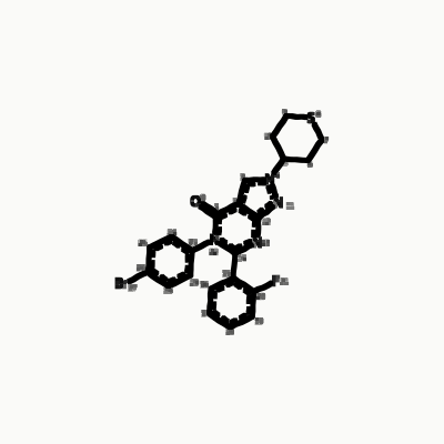 O=c1c2cn(C3CCSCC3)nc2nc(-c2ccccc2F)n1-c1ccc(Br)cc1